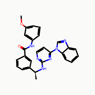 COc1cccc(NC(=O)c2cccc([C@H](C)Nc3nccc(-n4cnc5ccccc54)n3)c2)c1